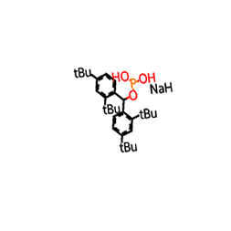 CC(C)(C)c1ccc(C(OP(O)O)c2ccc(C(C)(C)C)cc2C(C)(C)C)c(C(C)(C)C)c1.[NaH]